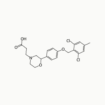 Cc1cc(Cl)c(COc2ccc(C3CN(CCC(=O)O)CCO3)cc2)c(Cl)c1